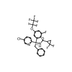 O=C(N[C@@](Cc1ccccc1)(c1cc(F)cc(OC(F)(I)C(F)(F)F)c1)c1ccc(Cl)cn1)C1CC1(F)F